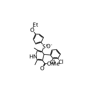 CCOc1ccc([S+]([O-])C2=C(C)NC(C)=C(C(=O)OC)C2c2cccc(Cl)c2Cl)cc1